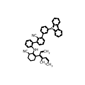 C=C/C(C1=C(Nc2ccccc2-c2cccc(-c3cccc(-n4c5ccccc5c5ccccc54)c3)c2C#N)C(C#N)CCC1)=C(C)\C=C/C